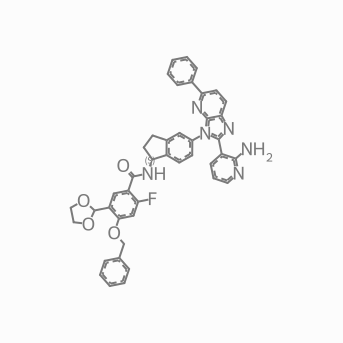 Nc1ncccc1-c1nc2ccc(-c3ccccc3)nc2n1-c1ccc2c(c1)CC[C@@H]2NC(=O)c1cc(C2OCCO2)c(OCc2ccccc2)cc1F